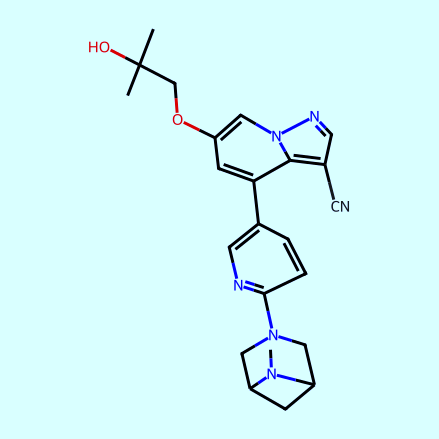 CN1C2CC1CN(c1ccc(-c3cc(OCC(C)(C)O)cn4ncc(C#N)c34)cn1)C2